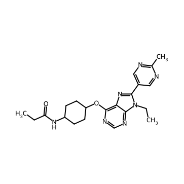 CCC(=O)NC1CCC(Oc2ncnc3c2nc(-c2cnc(C)nc2)n3CC)CC1